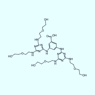 O=S(O)c1cc(Nc2nc(NCCOCCO)nc(NCCOCCO)n2)cc(Nc2nc(NCCOCCO)nc(NCCOCCO)n2)c1